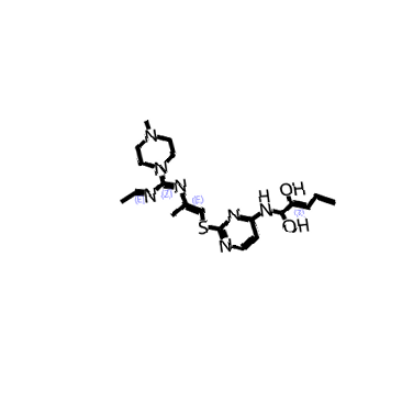 C=C/C=C(\O)C(O)Nc1ccnc(S/C=C(C)/N=C(\N=C\C)N2CCN(C)CC2)n1